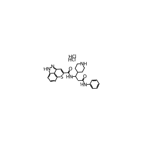 Cl.Cl.O=C(CC(NC(=O)C1=Cc2n[nH]c3cccc(c23)S1)C1CCNCC1)Nc1ccccc1